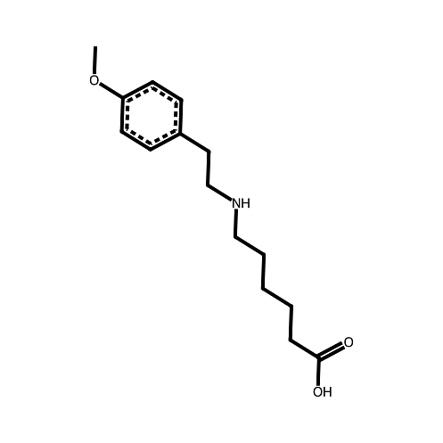 COc1ccc(CCNCCCCCC(=O)O)cc1